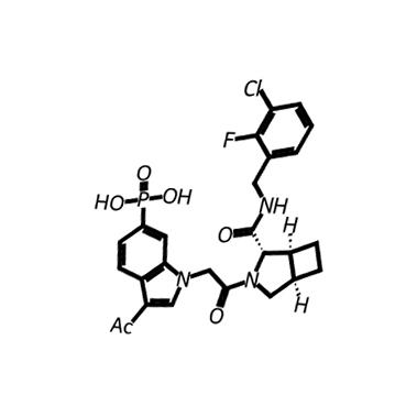 CC(=O)c1cn(CC(=O)N2C[C@@H]3CC[C@@H]3[C@H]2C(=O)NCc2cccc(Cl)c2F)c2cc(P(=O)(O)O)ccc12